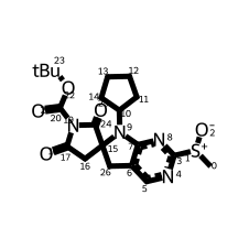 C[S+]([O-])c1ncc2c(n1)N(C1CCCC1)C1(CC(=O)N(C(=O)OC(C)(C)C)C1=O)C2